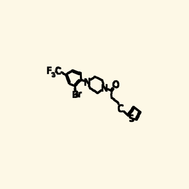 O=C(CCCc1cccs1)N1CCN(c2ccc(C(F)(F)F)cc2Br)CC1